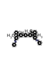 CCc1cccc(C)c1N(c1ccc(/C=C/c2ccccc2)cc1)c1ccc(-c2ccc(-c3ccc(N(c4ccc(/C=C/c5ccccc5)cc4)c4c(C)cccc4CC)cc3)cc2)cc1